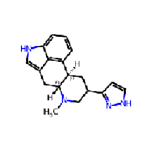 CN1CC(c2cc[nH]n2)C[C@@H]2c3cccc4[nH]cc(c34)C[C@H]21